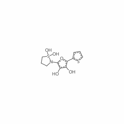 Oc1c(-c2cccs2)oc(N2CCCS2(O)O)c1O